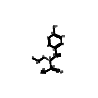 CSC[C@H](Nc1ccc(F)cc1)C(=O)O